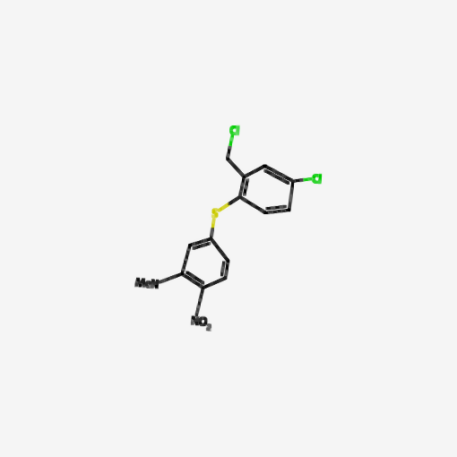 CNc1cc(Sc2ccc(Cl)cc2CCl)ccc1[N+](=O)[O-]